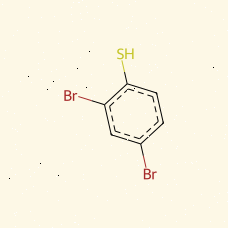 Sc1ccc(Br)cc1Br